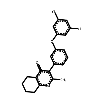 Cc1[nH]c2c(c(=O)c1-c1cccc(Oc3cc(Cl)cc(Cl)c3)c1)CCCC2